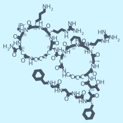 CC(C)C[C@@H]1NC(=O)[C@H](CCCCN)NC(=O)[C@H](CCCNC(=N)N)NC(=O)[C@@H](NC(=O)[C@@H]2CC(=O)NCCCC[C@H](NC(=O)[C@@H](CC(=O)[C@H](Cc3ccccc3)NC(=O)CNC(=O)CNC(=O)CNCc3ccccc3)C(C)O)C(=O)N[C@@H](C)C(=O)N[C@@H](CCCNC(=N)N)C(=O)N[C@@H](CCCCN)C(=O)N2)CCCCNC(=O)C[C@@H](C(N)=O)NC1=O